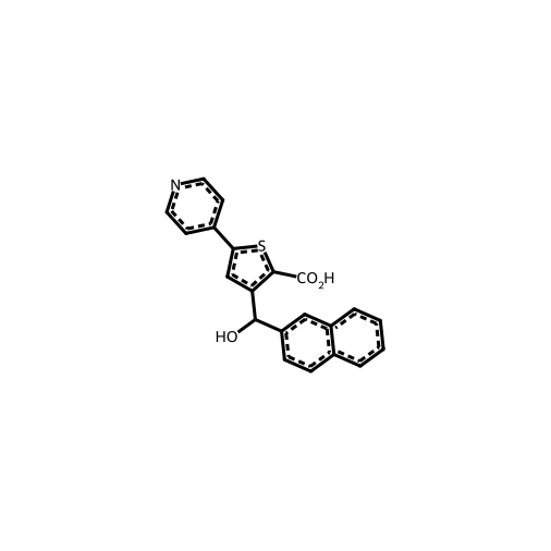 O=C(O)c1sc(-c2ccncc2)cc1C(O)c1ccc2ccccc2c1